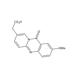 COc1ccc2nc3ccc(CC(=O)O)cn3c(=O)c2c1